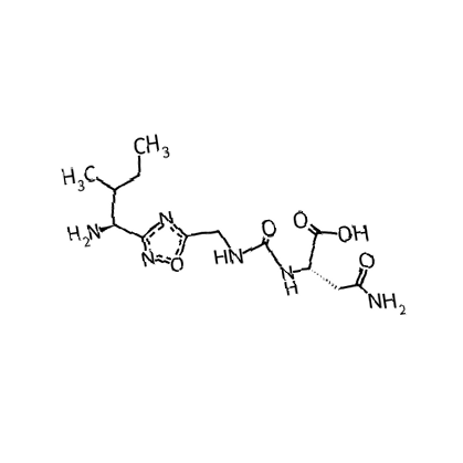 CCC(C)[C@H](N)c1noc(CNC(=O)N[C@@H](CC(N)=O)C(=O)O)n1